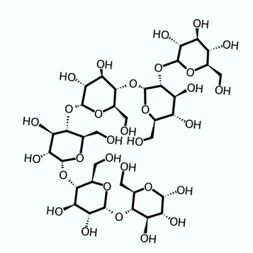 OC[C@H]1O[C@H](O[C@H]2[C@H](O)[C@@H](O)[C@@H](O[C@H]3[C@H](O)[C@@H](O)[C@@H](O[C@H]4[C@H](O)[C@@H](O)[C@@H](O[C@H]5[C@H](O)[C@@H](O)[C@@H](O)O[C@@H]5CO)O[C@@H]4CO)O[C@@H]3CO)O[C@@H]2CO)[C@H](OC2O[C@H](CO)[C@@H](O)[C@H](O)[C@H]2O)[C@@H](O)[C@@H]1O